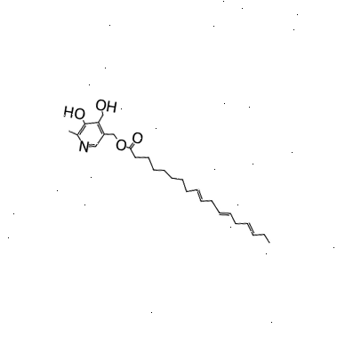 CCC=CCC=CCC=CCCCCCCCC(=O)OCc1cnc(C)c(O)c1CO